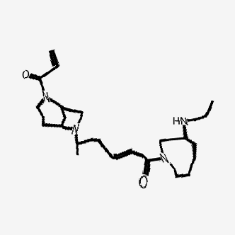 C=CC(=O)N1CCC2C1CN2C(C)C/C=C/C(=O)N1CCCC(NCC)C1